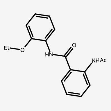 CCOc1ccccc1NC(=O)c1ccccc1NC(C)=O